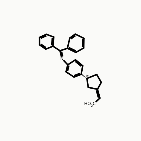 O=C(O)C=C1CC[C@@H](c2ccc(N=C(c3ccccc3)c3ccccc3)cc2)C1